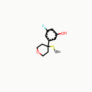 CC(C)(C)SC1(c2cc(O)cc(F)c2)CCOCC1